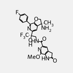 COc1nc(C(=O)NC[C@@](O)(c2cc3c(c(-c4ccc(F)cc4)n2)OC[C@@]3(C)N)C(F)(F)F)cc2c1NC(=O)C2